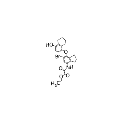 CCOC(=O)C(=O)Nc1cc(Br)c(Oc2ccc(O)c3c2CCCC3)c2c1CCC2